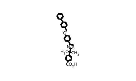 CC(C)(c1ccc(C(=O)O)cc1)c1nc(-c2ccc(OCc3ccc(-c4ccccc4)cc3)cc2)cs1